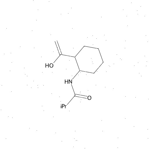 C=C(O)C1CCCCC1NC(=O)C(C)C